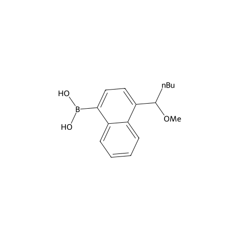 CCCCC(OC)c1ccc(B(O)O)c2ccccc12